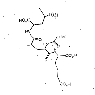 CCCCCCC(=O)NC(CC(C)C(=O)NC(CC(C)C(=O)O)C(=O)O)C(=O)NC(CCCC(=O)O)C(=O)O